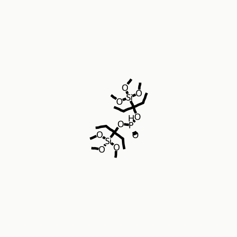 CCC(CC)(O[PH](=O)OC(CC)(CC)[Si](OC)(OC)OC)[Si](OC)(OC)OC